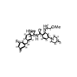 COCC(C)Nc1cc(N2CCN(C)CC2)ccc1C(=O)Nc1n[nH]c2ccc(Cc3cc(F)cc(F)c3)cc12